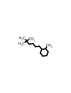 CC1CCCCC1CCCCC(C)(C)C